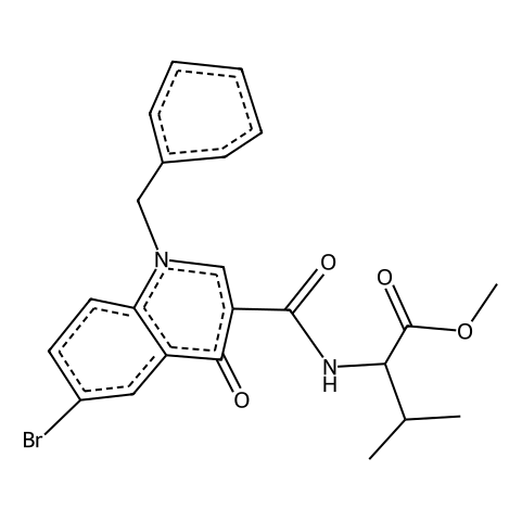 COC(=O)C(NC(=O)c1cn(Cc2ccccc2)c2ccc(Br)cc2c1=O)C(C)C